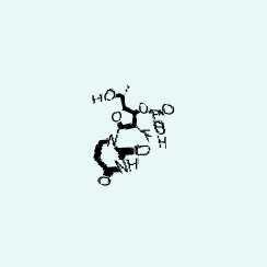 C[C@@H](O)[C@H]1O[C@@H](n2ccc(=O)[nH]c2=O)[C@@H](F)C1O[PH](=O)O